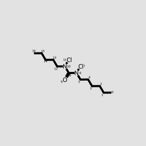 CCCCCCN(Cl)C(=O)N(Cl)CCCCC